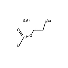 CCCCCCO[PH](=O)CC.[NaH]